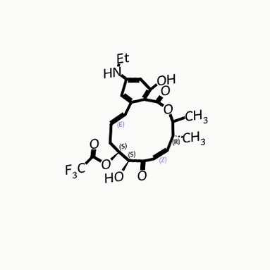 CCNc1cc(O)c2c(c1)/C=C/C[C@H](OC(=O)C(F)(F)F)[C@H](O)C(=O)/C=C\[C@@H](C)C(C)OC2=O